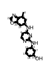 Cc1cc(Nc2ccnc(Nc3cccc(O)c3)n2)cc2ocnc12